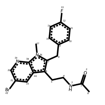 CC(=O)NCCc1c(Cc2ccc(F)cc2)n(C)c2ncc(Br)cc12